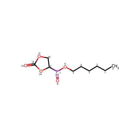 CCCCCCO[PH](=O)C1COC(=O)O1